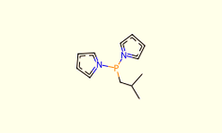 CC(C)CP(n1cccc1)n1cccc1